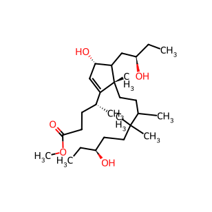 CC[C@@H](O)CC1[C@@H](O)C=C([C@H](C)CCC(=O)OC)[C@@]1(C)CCC(C)C(C)(C)CC[C@@H](O)CC